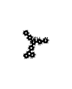 C=N/C(=C\C(=N/Cc1ccc(-c2ccccc2)cc1)C1=CCC(c2cc3ccccc3c3ccccc23)C=C1)c1ccc(-c2cccnc2)cc1